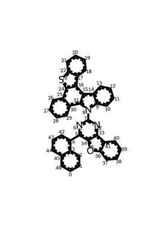 c1ccc2c(-c3nc(-n4c5ccccc5c5c6c7ccccc7sc6c6ccccc6c54)nc4c3oc3ccccc34)cccc2c1